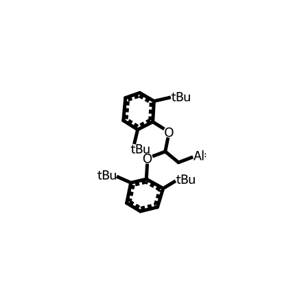 CC(C)(C)c1cccc(C(C)(C)C)c1OC([CH2][Al])Oc1c(C(C)(C)C)cccc1C(C)(C)C